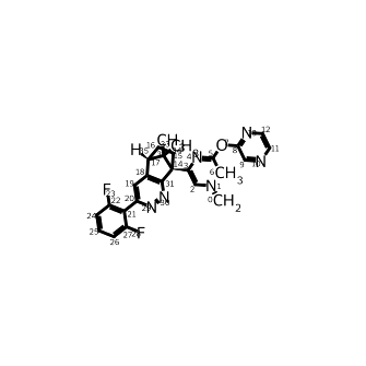 C=N/C=C(\N=C(/C)Oc1cnccn1)[C@@]12CC[C@@H](c3cc(-c4c(F)cccc4F)nnc31)C2(C)C